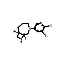 CCc1cc(N2CCC[C@H]3CN[C@H]3C2)cnc1Cl